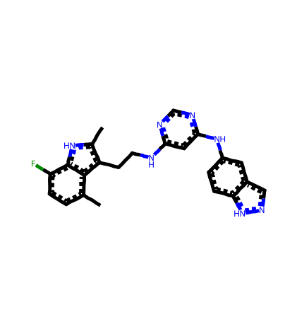 Cc1[nH]c2c(F)ccc(C)c2c1CCNc1cc(Nc2ccc3[nH]ncc3c2)ncn1